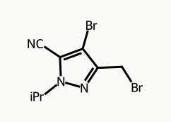 CC(C)n1nc(CBr)c(Br)c1C#N